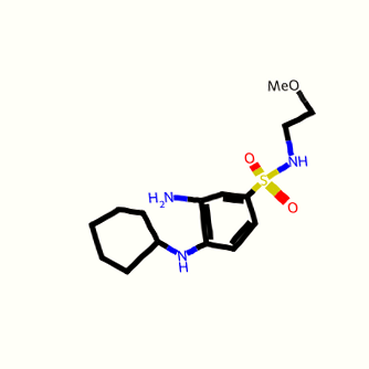 COCCNS(=O)(=O)c1ccc(NC2CCCCC2)c(N)c1